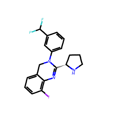 FC(F)c1cccc(N2Cc3cccc(I)c3N=C2[C@@H]2CCCN2)c1